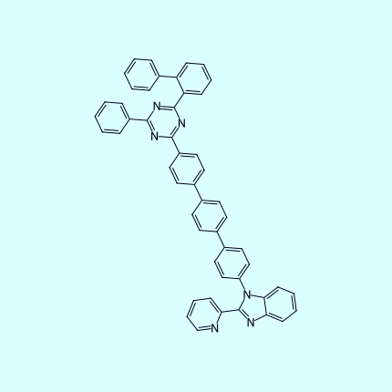 c1ccc(-c2nc(-c3ccc(-c4ccc(-c5ccc(-n6c(-c7ccccn7)nc7ccccc76)cc5)cc4)cc3)nc(-c3ccccc3-c3ccccc3)n2)cc1